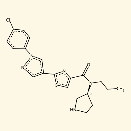 CCCN(C(=O)c1csc(-c2cnn(-c3ccc(Cl)cc3)c2)n1)[C@H]1CCNC1